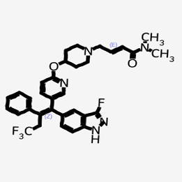 CN(C)C(=O)/C=C/CN1CCC(Oc2ccc(/C(=C(/CC(F)(F)F)c3ccccc3)c3ccc4[nH]nc(F)c4c3)cn2)CC1